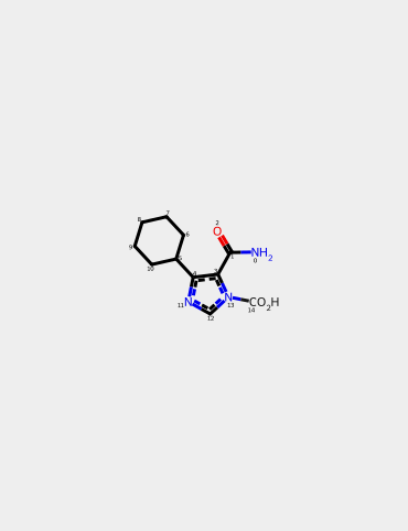 NC(=O)c1c(C2CCCCC2)ncn1C(=O)O